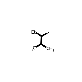 CCC(F)[C](C)C